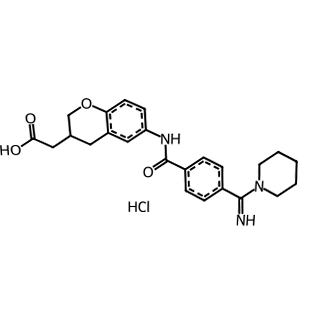 Cl.N=C(c1ccc(C(=O)Nc2ccc3c(c2)CC(CC(=O)O)CO3)cc1)N1CCCCC1